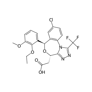 CCOc1c(OC)cccc1[C@@H]1O[C@@H](CC(=O)O)c2nnc(C(F)(F)F)n2-c2ccc(Cl)cc21